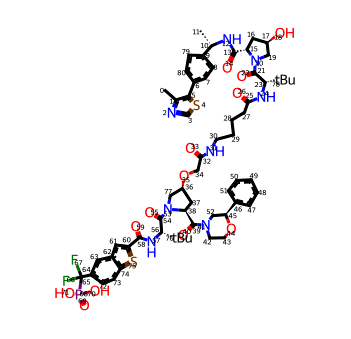 Cc1ncsc1-c1ccc([C@H](C)NC(=O)[C@@H]2C[C@@H](O)CN2C(=O)[C@@H](NC(=O)CCCCNC(=O)CO[C@H]2C[C@@H](C(=O)N3CCO[C@H](c4ccccc4)C3)N(C(=O)[C@@H](NC(=O)c3cc4cc(C(F)(F)P(=O)(O)O)ccc4s3)C(C)(C)C)C2)C(C)(C)C)cc1